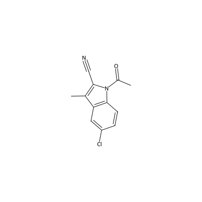 CC(=O)n1c(C#N)c(C)c2cc(Cl)ccc21